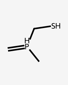 C=[PH](C)CS